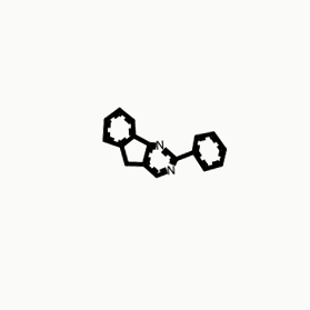 c1ccc(-c2ncc3c(n2)-c2ccccc2C3)cc1